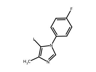 Cc1ncn(-c2ccc(F)cc2)c1I